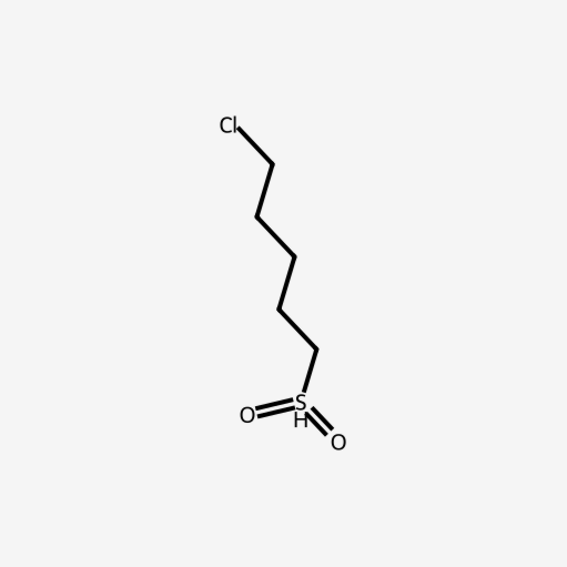 O=[SH](=O)CCCCCCl